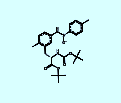 Cc1ccc([S+]([O-])Nc2ccc(C)c(C[C@H](NC(=O)OC(C)(C)C)C(=O)OC(C)(C)C)c2)cc1